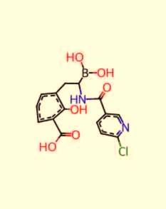 O=C(NC(Cc1cccc(C(=O)O)c1O)B(O)O)c1ccc(Cl)nc1